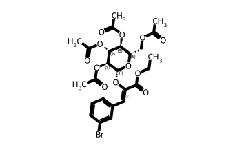 CCOC(=O)/C(=C/c1cccc(Br)c1)O[C@H]1O[C@@H](COC(C)=O)[C@H](OC(C)=O)[C@@H](OC(C)=O)[C@@H]1OC(C)=O